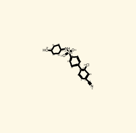 N#Cc1ccc(-c2ccc(S(=O)(=O)NC3CCC(O)CC3)cc2)c(Cl)c1